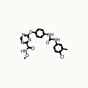 CONC(=O)c1ncnc(Oc2ccc(NC(=O)Nc3ccc(Cl)c(C)c3)cc2)n1